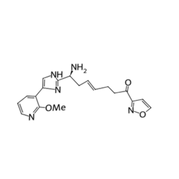 COc1ncccc1-c1c[nH]c([C@@H](N)C/C=C/CCC(=O)c2ccon2)n1